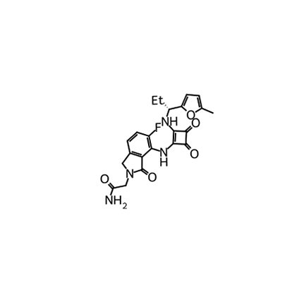 CC[C@@H](Nc1c(Nc2c(F)ccc3c2C(=O)N(CC(N)=O)C3)c(=O)c1=O)c1ccc(C)o1